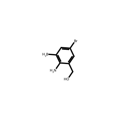 Bc1cc(Br)cc(CO)c1N